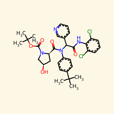 CC(C)(C)OC(=O)N1C[C@H](O)C[C@@H]1C(=O)N(c1ccc(C(C)(C)C)cc1)C(C(=O)Nc1c(Cl)cccc1Cl)c1cccnc1